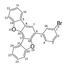 Brc1cccc(-c2cc3c4ccccc4oc3c3c2oc2ccccc23)c1